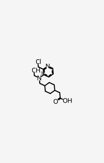 CCN(CC1CCC(CC(=O)O)CC1)c1cccnc1CCl